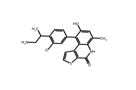 Cc1cc(O)c(-c2ccc(C(C)CN)c(Cl)c2)c2c1[nH]c(=O)c1sccc12